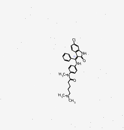 CN(C)CCCCC(=O)N(C)c1ccc(N/C(=C2\C(=O)Nc3cc(Cl)ccc32)c2ccccc2)cc1